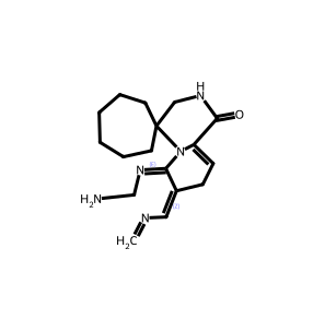 C=N/C=C1/CC=C2C(=O)NCC3(CCCCCC3)N2/C1=N/CN